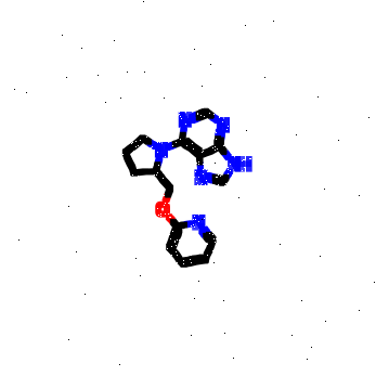 c1ccc(OCC2CCCN2c2ncnc3[nH]cnc23)nc1